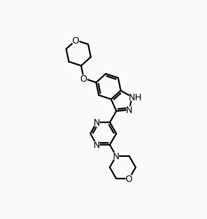 c1nc(-c2n[nH]c3ccc(OC4CCOCC4)cc23)cc(N2CCOCC2)n1